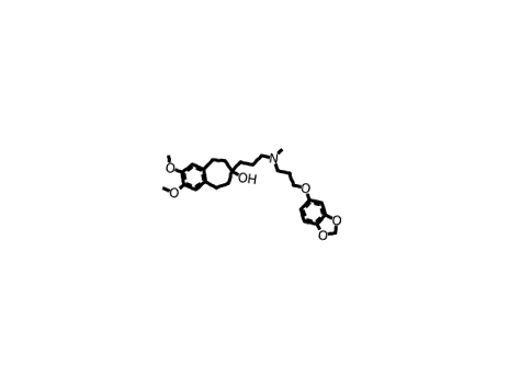 COc1cc2c(cc1OC)CCC(O)(CCCN(C)CCCOc1ccc3c(c1)OCO3)CC2